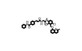 Cc1ccc2cccc(OCc3c(Cl)ccc(N(C)C(=O)CNC(=O)/C=C/c4ccc(C(=O)Nc5ccccc5)cc4)c3Cl)c2n1